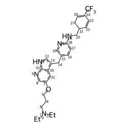 CCN(CC)CCCOc1cnc2[nH]cc(Cc3ccc(NCC4C=CC(C(F)(F)F)=CC4)nc3)c2c1